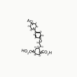 CC(=O)N1CCN(c2ccc(OCC[C@@H]3CN(C(=O)O)CCN3C(=O)O)cc2)CC1